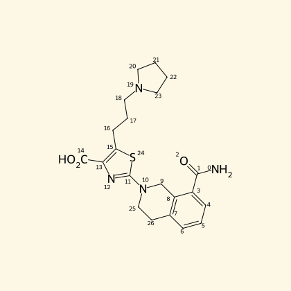 NC(=O)c1cccc2c1CN(c1nc(C(=O)O)c(CCCN3CCCC3)s1)CC2